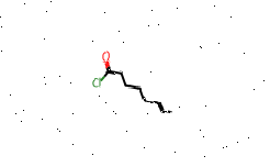 CC=CCCCCC(=O)Cl